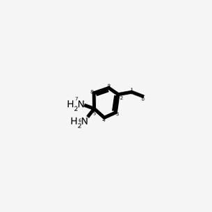 CCC1=CCC(N)(N)C=C1